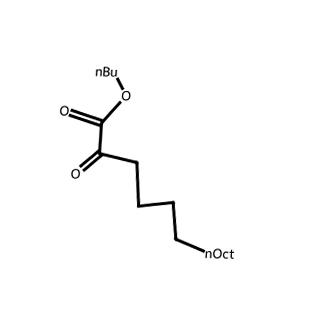 CCCCCCCCCCCCC(=O)C(=O)OCCCC